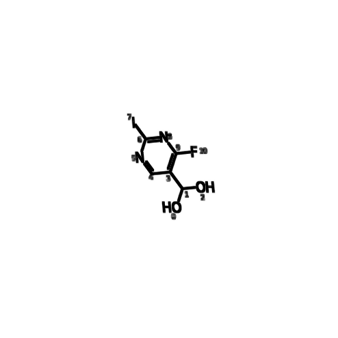 OC(O)c1cnc(I)nc1F